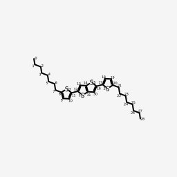 CCCCCCCCc1ccc(-c2cc3sc(-c4ccc(CCCCCCCC)s4)cc3s2)s1